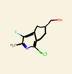 Cc1nc(Cl)c2c(c1F)CC(CO)C2